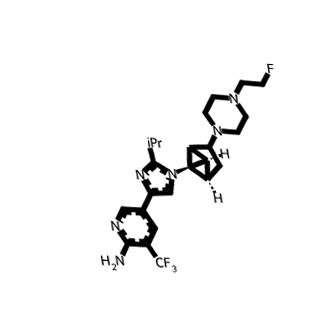 CC(C)c1nc(-c2cnc(N)c(C(F)(F)F)c2)cn1[C@]12C3C(N4CCN(CCF)CC4)C[C@@H]1[C@H]32